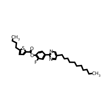 CCCCCCCCCCCc1cnc(-c2ccc(OC(=O)c3ccc(CCCC)s3)c(F)c2)nc1